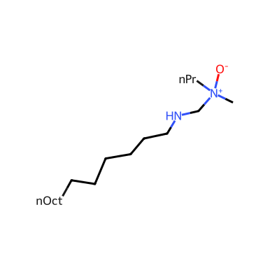 CCCCCCCCCCCCCCNC[N+](C)([O-])CCC